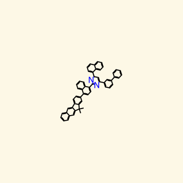 CC1(C)c2cc(-c3ccc(-c4nc(-c5cccc(-c6ccccc6)c5)cc(-c5cccc6ccccc56)n4)c4ccccc34)ccc2-c2cc3ccccc3cc21